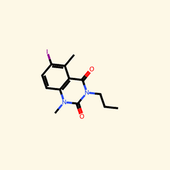 CCCn1c(=O)c2c(C)c(I)ccc2n(C)c1=O